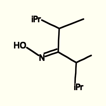 CC(C)C(C)C(=NO)C(C)C(C)C